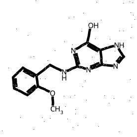 COc1ccccc1CNc1nc(O)c2[nH]cnc2n1